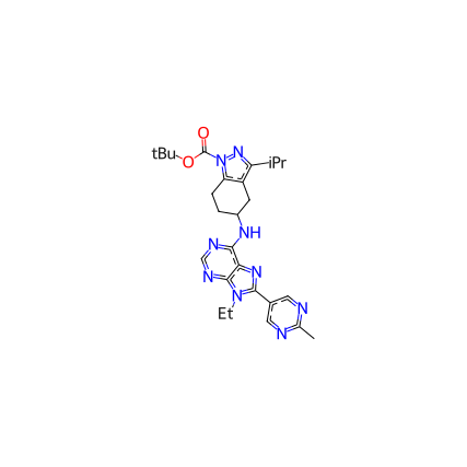 CCn1c(-c2cnc(C)nc2)nc2c(NC3CCc4c(c(C(C)C)nn4C(=O)OC(C)(C)C)C3)ncnc21